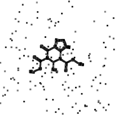 CC(C)(C)OC(=O)N1C(=O)c2nc[nH]c2N(C(=O)OC(C)(C)C)C1N